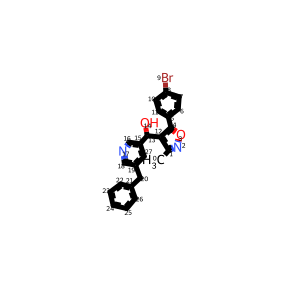 Cc1noc(-c2ccc(Br)cc2)c1C(O)c1cncc(Cc2ccccc2)c1